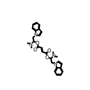 CN(C)C(Cn1ccc2ccccc21)OC(=O)/C=C/C(=O)OC(Cn1ccc2ccccc21)N(C)C